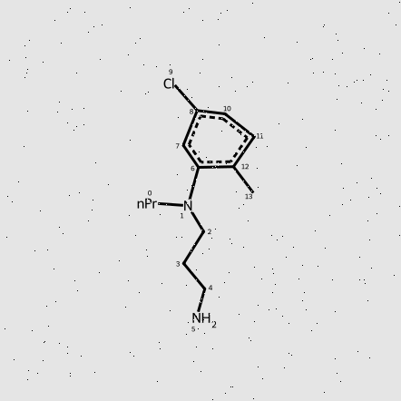 CCCN(CCCN)c1cc(Cl)ccc1C